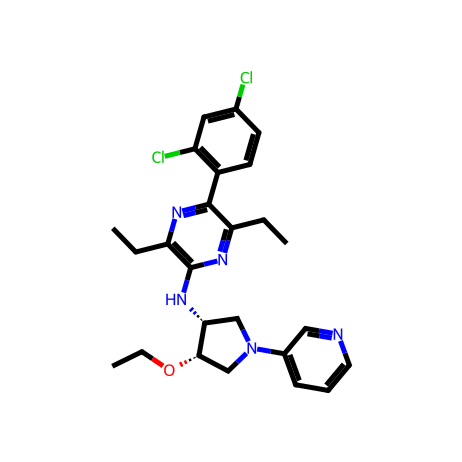 CCO[C@H]1CN(c2cccnc2)C[C@H]1Nc1nc(CC)c(-c2ccc(Cl)cc2Cl)nc1CC